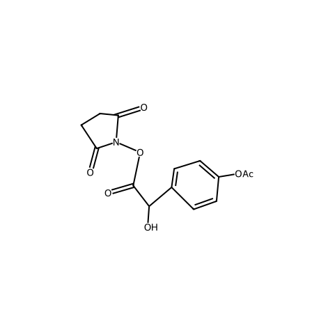 CC(=O)Oc1ccc(C(O)C(=O)ON2C(=O)CCC2=O)cc1